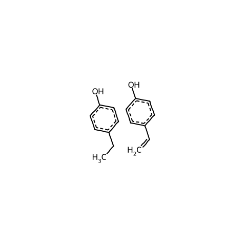 C=Cc1ccc(O)cc1.CCc1ccc(O)cc1